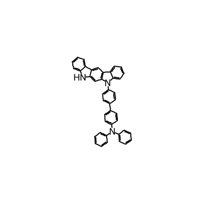 c1ccc(N(c2ccccc2)c2ccc(-c3ccc(-n4c5ccccc5c5cc6c(cc54)[nH]c4ccccc46)cc3)cc2)cc1